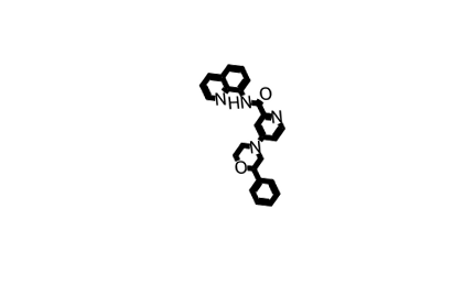 O=C(Nc1cccc2cccnc12)c1cc(N2CCOC(c3ccccc3)C2)ccn1